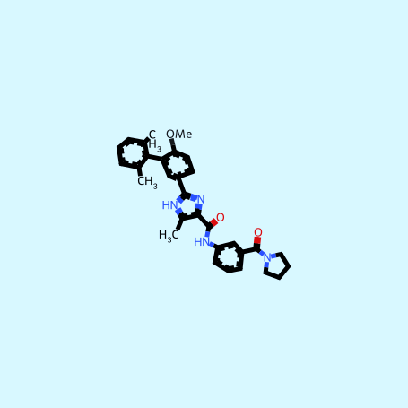 COc1ccc(-c2nc(C(=O)Nc3cccc(C(=O)N4CCCC4)c3)c(C)[nH]2)cc1-c1c(C)cccc1C